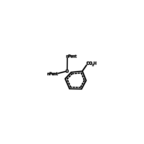 CCCCCOCCCCC.O=C(O)c1ccccc1